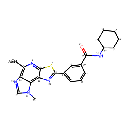 CNc1nc2sc(-c3cccc(C(=O)NC4CCCCC4)c3)nc2c2c1ncn2C